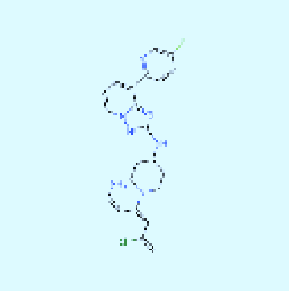 C=C(Cl)/C=C(\C=C/N)N1CCC(Nc2nc3c(-c4ccc(F)cn4)cccn3n2)CC1